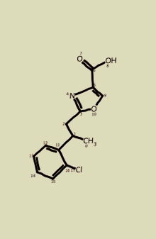 CC(Cc1nc(C(=O)O)co1)c1ccccc1Cl